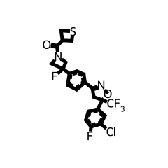 O=C(C1CSC1)N1CC(F)(c2ccc(C3=NOC(c4ccc(F)c(Cl)c4)(C(F)(F)F)C3)cc2)C1